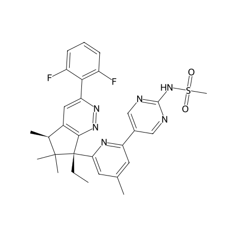 CC[C@]1(c2cc(C)cc(-c3cnc(NS(C)(=O)=O)nc3)n2)c2nnc(-c3c(F)cccc3F)cc2[C@H](C)C1(C)C